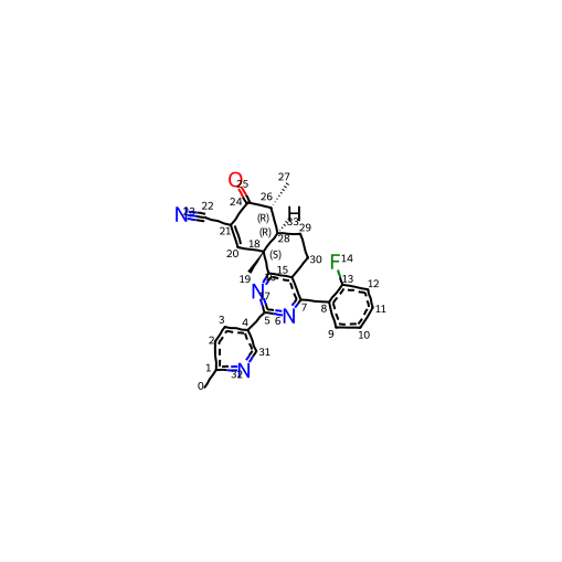 Cc1ccc(-c2nc(-c3ccccc3F)c3c(n2)[C@]2(C)C=C(C#N)C(=O)[C@H](C)[C@H]2CC3)cn1